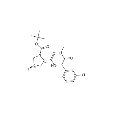 COC(=O)C(NC(=O)[C@@H]1C[C@@H](F)CN1C(=O)OC(C)(C)C)c1cccc(Cl)c1